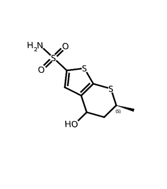 C[C@H]1CC(O)c2cc(S(N)(=O)=O)sc2S1